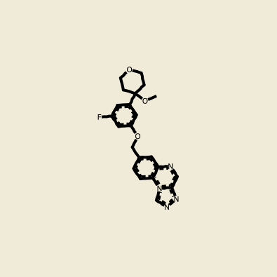 COC1(c2cc(F)cc(OCc3ccc4c(c3)ncc3nncn34)c2)CCOCC1